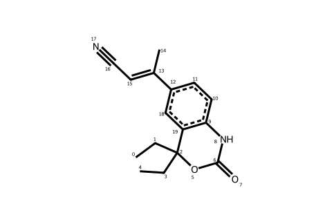 CCC1(CC)OC(=O)Nc2ccc(C(C)=CC#N)cc21